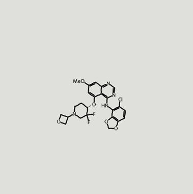 COc1cc(O[C@H]2CCN(C3COC3)CC2(F)F)c2c(Nc3c(Cl)ccc4c3OCO4)ncnc2c1